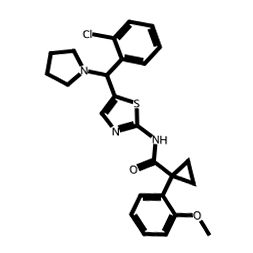 COc1ccccc1C1(C(=O)Nc2ncc(C(c3ccccc3Cl)N3CCCC3)s2)CC1